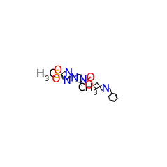 C[C@@H]1CN(c2ncc(S(C)(=O)=O)cn2)CCN1C(=O)OC1CC2(C1)CN(Cc1ccccc1)C2